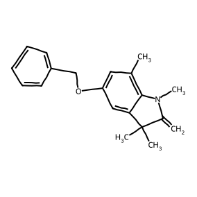 C=C1N(C)c2c(C)cc(OCc3ccccc3)cc2C1(C)C